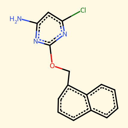 Nc1cc(Cl)nc(OCc2cccc3ccccc23)n1